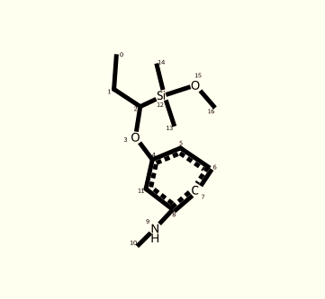 CCC(Oc1cccc(NC)c1)[Si](C)(C)OC